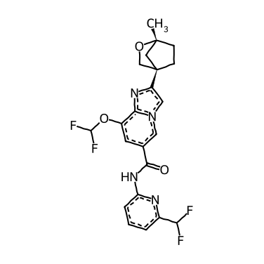 C[C@]12CC[C@](c3cn4cc(C(=O)Nc5cccc(C(F)F)n5)cc(OC(F)F)c4n3)(CO1)C2